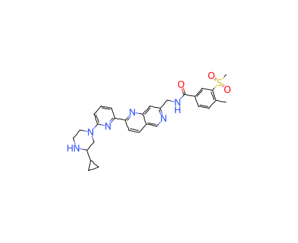 Cc1ccc(C(=O)NCc2cc3nc(-c4cccc(N5CCNC(C6CC6)C5)n4)ccc3cn2)cc1S(C)(=O)=O